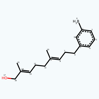 Bc1cccc(CC/C=C(\C)CC/C=C(\C)CO)c1